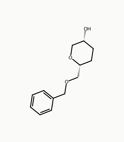 O[C@@H]1CC[C@H](COCc2ccccc2)OC1